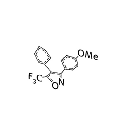 COc1ccc(-c2noc(C(F)(F)F)c2-c2ccccc2)cc1